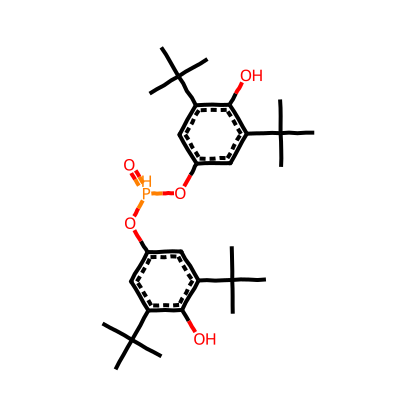 CC(C)(C)c1cc(O[PH](=O)Oc2cc(C(C)(C)C)c(O)c(C(C)(C)C)c2)cc(C(C)(C)C)c1O